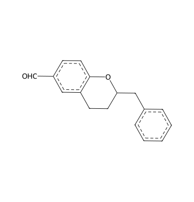 O=Cc1ccc2c(c1)CCC(Cc1ccccc1)O2